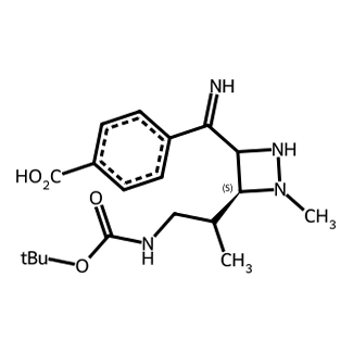 CC(CNC(=O)OC(C)(C)C)[C@H]1C(C(=N)c2ccc(C(=O)O)cc2)NN1C